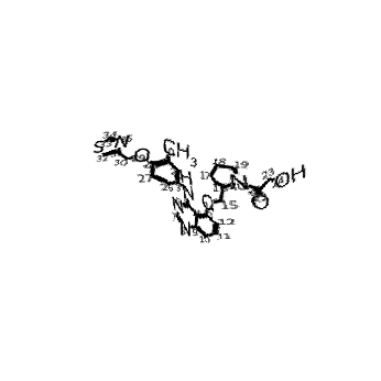 Cc1cc(Nc2ncnc3cccc(OC[C@H]4CCCN4C(=O)CO)c23)ccc1OCc1cscn1